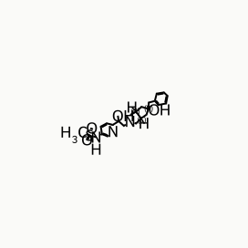 CS(=O)(=O)Nc1ccc(C(O)CN2C[C@@H]3C[C@@](O)(Cc4ccccc4)C[C@@H]3C2)nc1